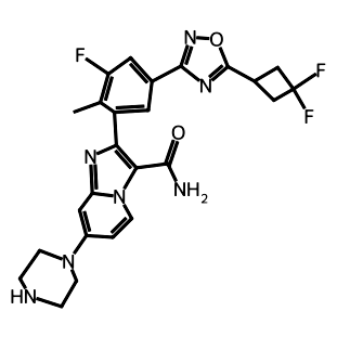 Cc1c(F)cc(-c2noc(C3CC(F)(F)C3)n2)cc1-c1nc2cc(N3CCNCC3)ccn2c1C(N)=O